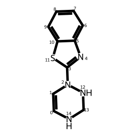 C1=CN(c2nc3ccccc3s2)NCN1